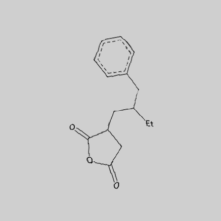 CCC(Cc1ccccc1)CC1CC(=O)OC1=O